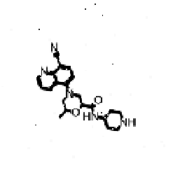 CC1CN(c2ccc(C#N)c3ncccc23)CC(C(=O)NC2CCNCC2)O1